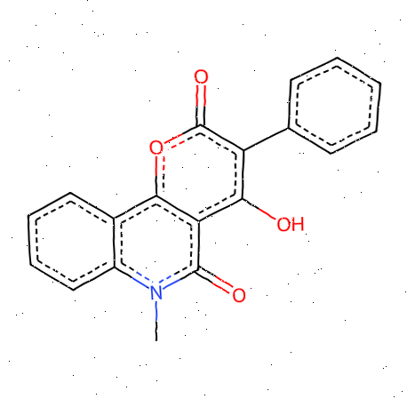 Cn1c(=O)c2c(O)c(-c3ccccc3)c(=O)oc2c2ccccc21